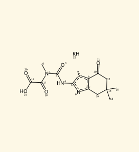 CN(C(=O)Nc1nc2c(s1)C(=O)CC(C)(C)C2)C(=O)C(=O)O.[KH]